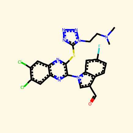 CN(C)CCn1nnnc1Sc1nc2cc(Cl)c(Cl)cc2nc1-n1cc(C=O)c2ccc(F)cc21